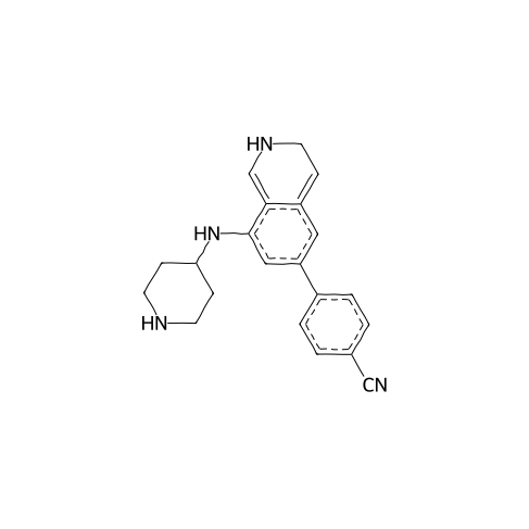 N#Cc1ccc(-c2cc(NC3CCNCC3)c3c(c2)=CCNC=3)cc1